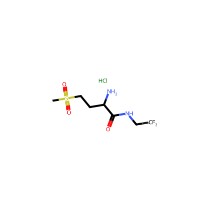 CS(=O)(=O)CCC(N)C(=O)NCC(F)(F)F.Cl